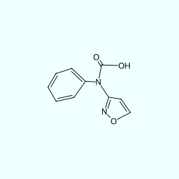 O=C(O)N(c1ccccc1)c1ccon1